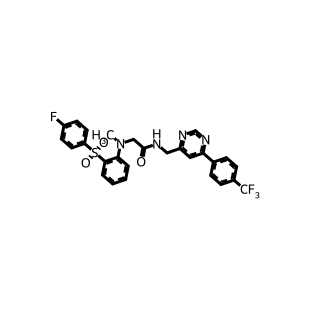 CN(CC(=O)NCc1cc(-c2ccc(C(F)(F)F)cc2)ncn1)c1ccccc1S(=O)(=O)c1ccc(F)cc1